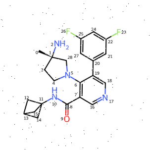 C[C@]1(N)CCN(c2c(C(=O)NC34CC(C3)C4)cncc2-c2cc(F)cc(F)c2)C1